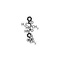 Cc1c([C@H](C)NC(=O)Nc2ccc(S(C)(=O)=O)nc2)oc2ccccc12